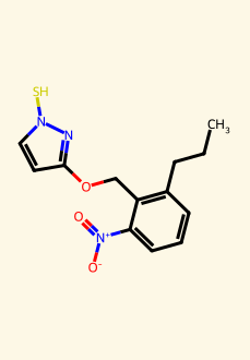 CCCc1cccc([N+](=O)[O-])c1COc1ccn(S)n1